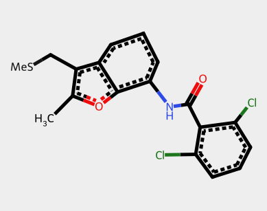 CSCc1c(C)oc2c(NC(=O)c3c(Cl)cccc3Cl)cccc12